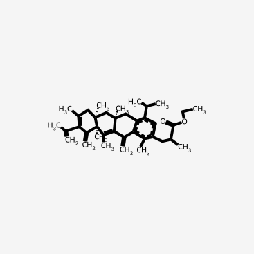 C=C(C)C1=C(C)C[C@@]2(C)C[C@@]3(C)Cc4c(C(C)C)cc(CC(C)C(=O)OCC)c(C)c4C(=C)C3=C(C)[C@@]2(C)C1=C